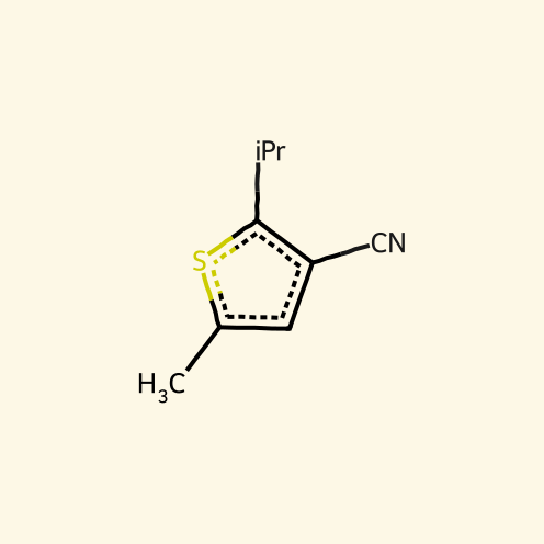 Cc1cc(C#N)c(C(C)C)s1